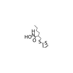 CCCCC(CSc1cccs1)C(=O)NO